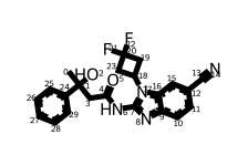 CC(O)(CC(=O)Nc1nc2ccc(C#N)cc2n1C1CC(F)(F)C1)c1ccccc1